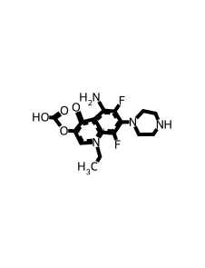 CCn1cc(OC(=O)O)c(=O)c2c(N)c(F)c(N3CCNCC3)c(F)c21